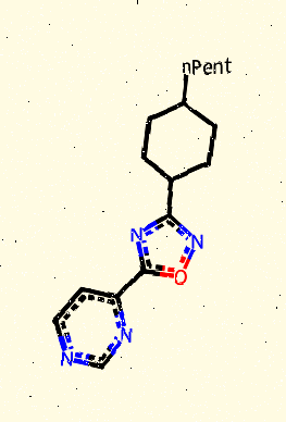 CCCCCC1CCC(c2noc(-c3ccncn3)n2)CC1